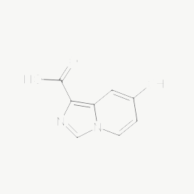 Cc1ccn2cnc(C(=O)O)c2c1